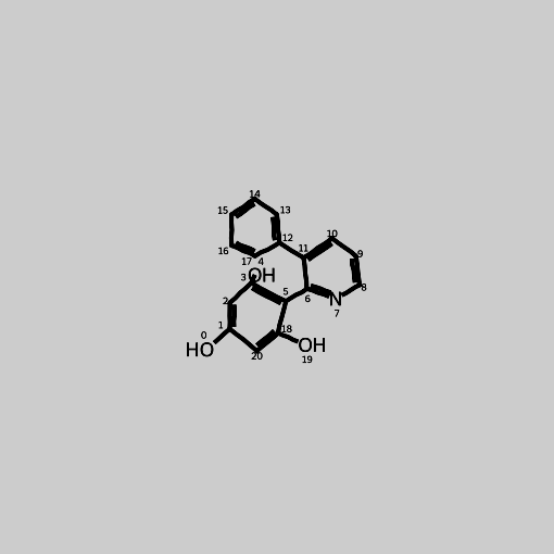 Oc1cc(O)c(-c2ncccc2-c2ccccc2)c(O)c1